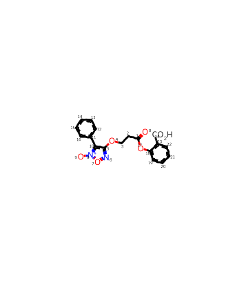 O=C(CCOc1no[n+]([O-])c1-c1ccccc1)Oc1ccccc1C(=O)O